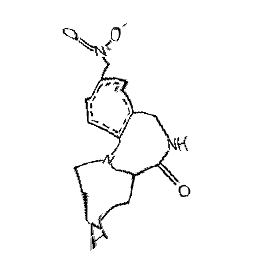 O=C1NCc2cc([N+](=O)[O-])ccc2N2CCNCC12